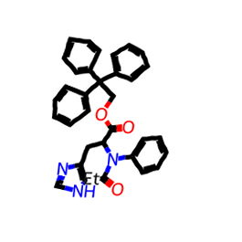 CCC(=O)N(c1ccccc1)C(Cc1c[nH]cn1)C(=O)OCC(c1ccccc1)(c1ccccc1)c1ccccc1